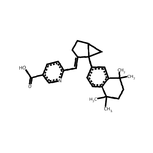 CC1(C)CCC(C)(C)c2cc(C34CC3CCC4=Cc3ccc(C(=O)O)cn3)ccc21